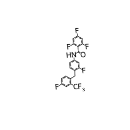 O=C(Nc1ccc(Cc2ccc(F)cc2C(F)(F)F)c(F)c1)c1c(F)cc(F)cc1F